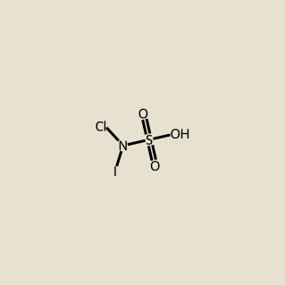 O=S(=O)(O)N(Cl)I